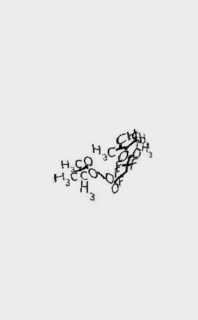 CCC(C)(C)C(=O)OCCOC(=O)C(F)(F)CC(F)(F)C(=O)OC(C(C)C)C(C)C